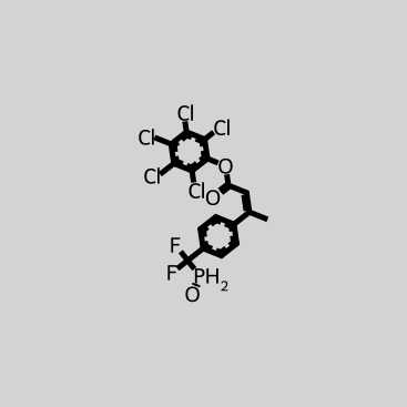 CC(=CC(=O)Oc1c(Cl)c(Cl)c(Cl)c(Cl)c1Cl)c1ccc(C(F)(F)[PH2]=O)cc1